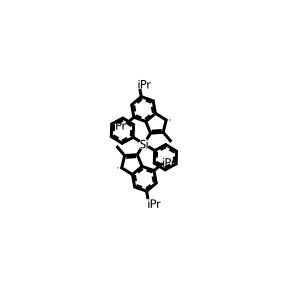 CC1=C([Si](C2=C(C)[CH]c3cc(C(C)C)cc(C(C)C)c32)(c2ccccc2)c2ccccc2)c2c(cc(C(C)C)cc2C(C)C)[CH]1